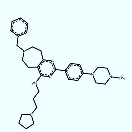 CN1CCN(c2ccc(-c3nc4c(c(NCCCN5CCCC5)n3)CCN(Cc3ccccc3)CC4)cc2)CC1